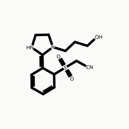 N#CCS(=O)(=O)C1C=CC=CC1=C1NCCN1CCCO